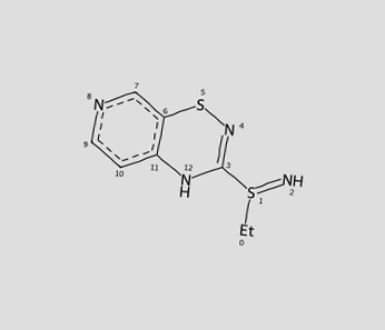 CCS(=N)C1=NSc2cnccc2N1